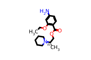 CCOc1cc(N)ccc1C(=O)OC[C@H](C)N1CCCCC1